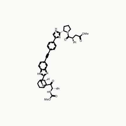 COC(=O)C[C@H](C(=O)N1CCC[C@H]1c1nc(-c2ccc(C#Cc3ccc4[nH]c([C@@H]5C6CCC(CC6)N5C(=O)[C@@H](NC(=O)OC)C(C)C)nc4c3)cc2)c[nH]1)C(C)C